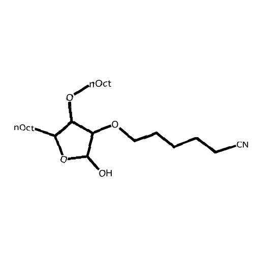 CCCCCCCCOC1C(CCCCCCCC)OC(O)C1OCCCCCC#N